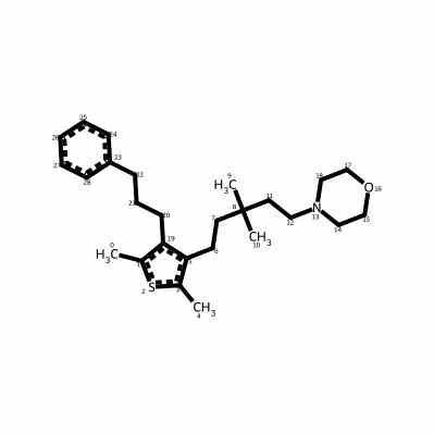 Cc1sc(C)c(CCC(C)(C)CCN2CCOCC2)c1CCCc1ccccc1